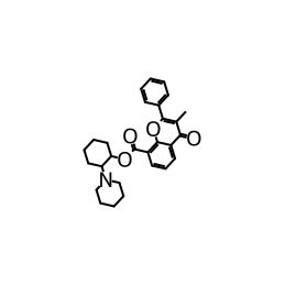 Cc1c(-c2ccccc2)oc2c(C(=O)OC3CCCCC3N3CCCCC3)cccc2c1=O